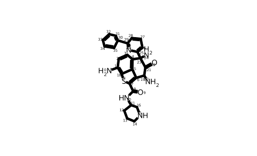 Nc1ccc2c3c(c(C(=O)NC4CCCNC4)sc13)C(N)C(=O)C2(N)c1cccc(-c2ccccc2)n1